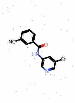 CCc1cncc(NC(=O)c2cccc(C#N)c2)c1